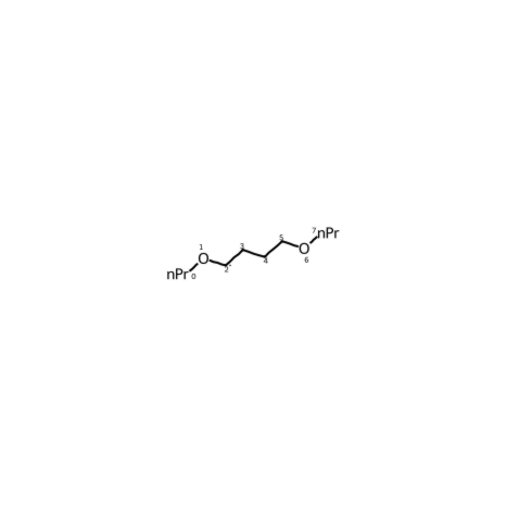 CCCO[CH]CCCOCCC